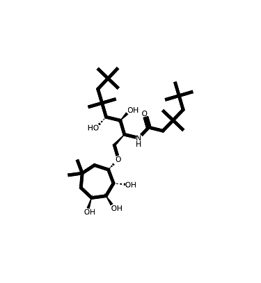 CC(C)(C)CC(C)(C)CC(=O)N[C@@H](CO[C@H]1CC(C)(C)C[C@H](O)[C@H](O)[C@H]1O)[C@H](O)[C@H](O)C(C)(C)CC(C)(C)C